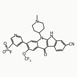 CN1CCC(n2c3cc(-c4cncc(S(=O)(=O)F)c4)c(OC(F)(F)F)cc3c(=O)c3c4ccc(C#N)cc4[nH]c32)CC1